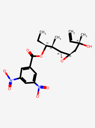 C=C[C@](C)(O)C[C@H]1O[C@@H]1[C@H](C)[C@H](CC)OC(=O)c1cc([N+](=O)[O-])cc([N+](=O)[O-])c1